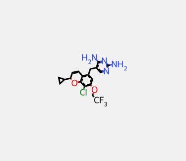 Nc1ncc(Cc2cc(OCC(F)(F)F)c(Cl)c3c2C=CC(C2CC2)O3)c(N)n1